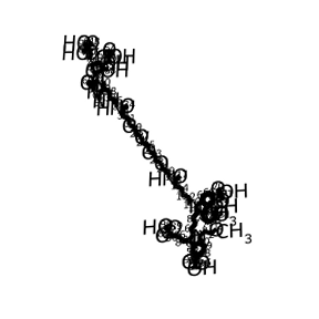 COCC[N+]1=C(/C=C/C=C2/N(CCCCCC(=O)NCCOCCOCCOCCOCCC(=O)NCCCc3cn([C@@H]4O[C@H](COP(=O)(O)O)[C@H](OP(=O)(O)O)C4O)c(=O)nc3N)c3ccc(S(=O)(=O)O)cc3C2(C)CCCS(=O)(=O)O)C(CCCS(=O)(=O)O)c2cc(S(=O)(=O)O)ccc21